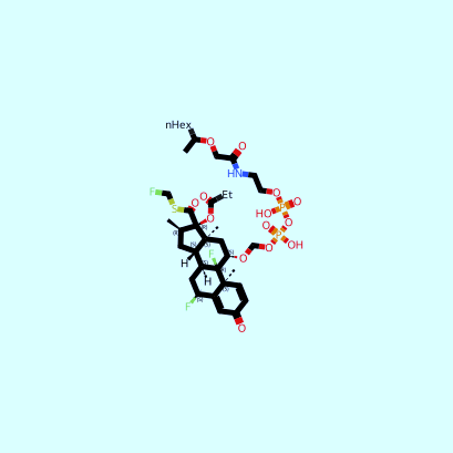 CCCCCCC(C)OCC(=O)NCCOP(=O)(O)OP(=O)(O)OCO[C@H]1C[C@@]2(C)[C@@H](C[C@@H](C)[C@]2(OC(=O)CC)C(=O)SCF)[C@@H]2C[C@H](F)C3=CC(=O)C=C[C@]3(C)[C@@]12F